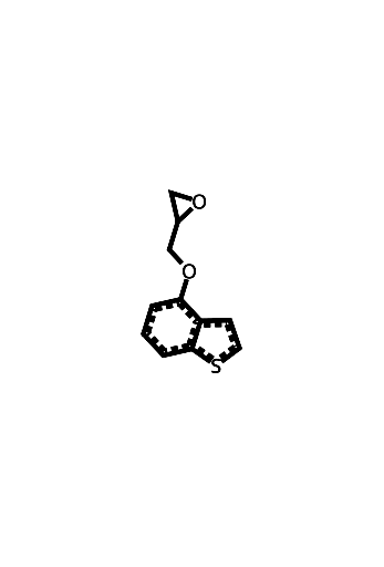 c1cc(OCC2CO2)c2ccsc2c1